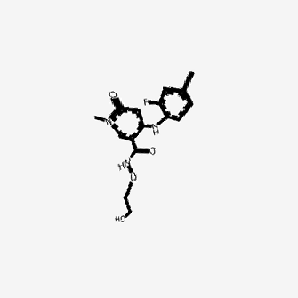 Cc1ccc(Nc2cc(=O)n(C)cc2C(=O)NOCCO)c(F)c1